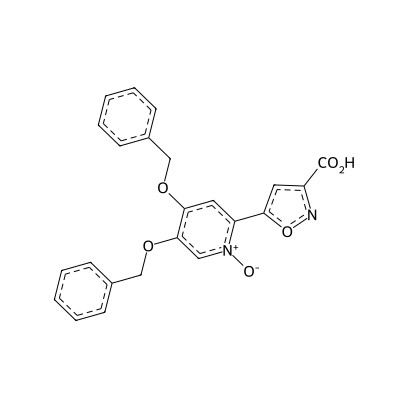 O=C(O)c1cc(-c2cc(OCc3ccccc3)c(OCc3ccccc3)c[n+]2[O-])on1